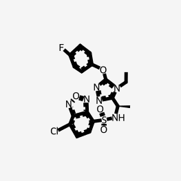 CCn1c(Oc2ccc(F)cc2)nnc1[C@@H](C)NS(=O)(=O)c1ccc(Cl)c2nonc12